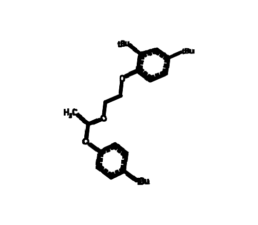 CCC(C)c1ccc(OC(C)OCCOc2ccc(C(C)(C)C)cc2C(C)(C)C)cc1